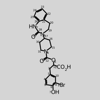 O=C(O)C(Cc1ccc(O)c(Br)c1)OC(=O)N1CCC(N2CCc3ccccc3NC2=O)CC1